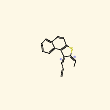 C=C/C=c1\c(=C/C)sc2ccc3ccccc3c12